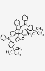 CC(C)(C)c1ccc(N(c2ccccc2)c2ccc3c(c2)C2(c4ccccc4Oc4ccccc42)c2cc(N(c4ccccc4)c4ccc(C(C)(C)C)cc4)c4ccccc4c2-3)cc1